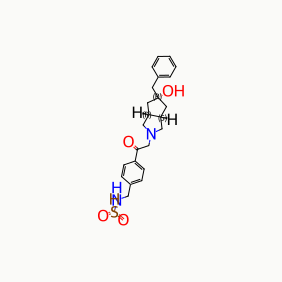 O=C(CN1C[C@@H]2C[C@@](O)(Cc3ccccc3)C[C@@H]2C1)c1ccc(CN[SH](=O)=O)cc1